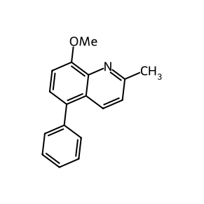 COc1ccc(-c2ccccc2)c2ccc(C)nc12